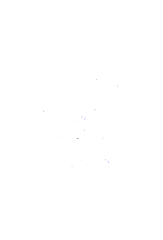 CCC(C(O)c1cccc(C#N)c1)N(C=O)c1ccc(Cl)cc1